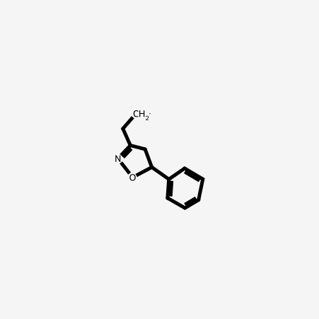 [CH2]CC1=NOC(c2ccccc2)C1